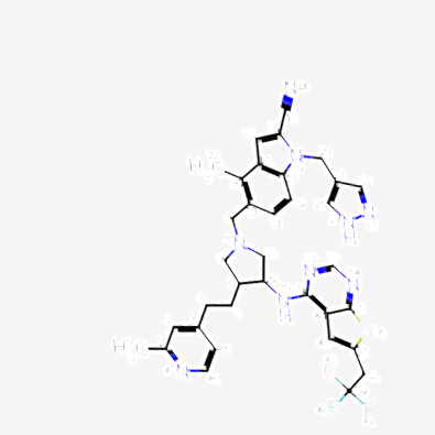 Cc1cc(CCC2CN(Cc3ccc4c(cc(C#N)n4Cc4cn[nH]c4)c3C)CC2Nc2ncnc3sc(CC(F)(F)F)cc23)ccn1